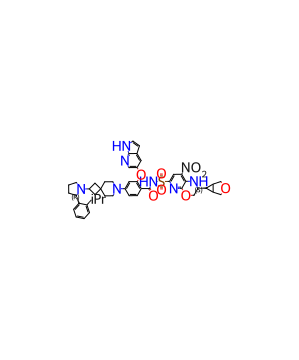 CC(C)c1ccccc1[C@H]1CCCN1C1CC2(CCN(c3ccc(C(=O)NS(=O)(=O)c4cc([N+](=O)[O-])c5c(n4)OC[C@H](C4C6COCC64)N5)c(Oc4cnc5[nH]ccc5c4)c3)CC2)C1